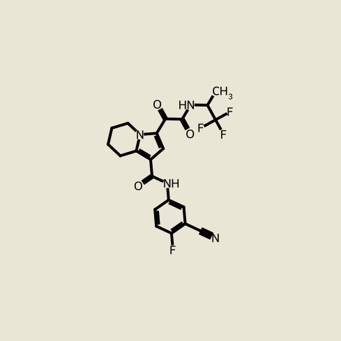 CC(NC(=O)C(=O)c1cc(C(=O)Nc2ccc(F)c(C#N)c2)c2n1CCCC2)C(F)(F)F